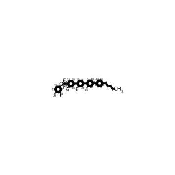 CCCCCc1ccc(-c2ccc(-c3ccc(-c4ccc(C(F)(F)Oc5ccc(F)c(F)c5)c(F)c4)c(F)c3)c(F)c2)cc1